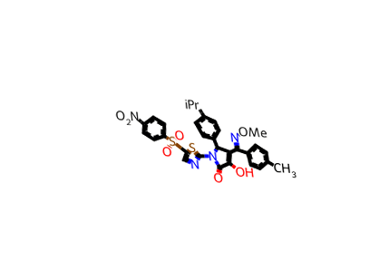 CON=C(C1=C(O)C(=O)N(c2ncc(S(=O)(=O)c3ccc([N+](=O)[O-])cc3)s2)C1c1ccc(C(C)C)cc1)c1ccc(C)cc1